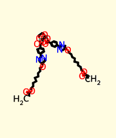 C=CC(=O)OCCCCCCCCCOc1cnc(-c2ccc(C(=O)O[C@@H]3OCCO[C@H]3OC(=O)c3ccc(-c4ncc(OCCCCCCCCCOC(=O)C=C)cn4)cc3)cc2)nc1